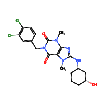 Cn1c(NC2CCC[C@@H](O)C2)nc2c1c(=O)n(Cc1ccc(Cl)c(Cl)c1)c(=O)n2C